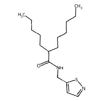 CCCCCCC(CCCCC)C(=O)NCc1ccns1